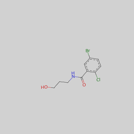 O=C(NCCCO)c1cc(Br)ccc1Cl